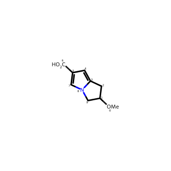 COC1Cc2cc(C(=O)O)cn2C1